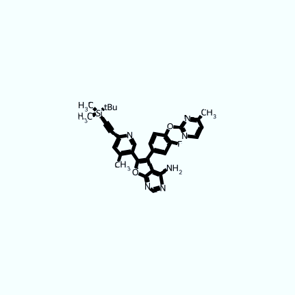 Cc1ccnc(Oc2ccc(-c3c(-c4cnc(C#C[Si](C)(C)C(C)(C)C)cc4C)oc4ncnc(N)c34)cc2F)n1